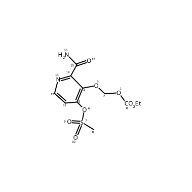 CCOC(=O)OCOc1c(OS(C)(=O)=O)ccnc1C(N)=O